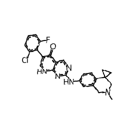 CN1Cc2cc(Nc3ncc4c(=O)c(-c5c(F)cccc5Cl)c[nH]c4n3)ccc2C2(CC2)C1